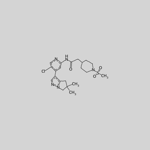 CC1(C)Cc2c(-c3cc(NC(=O)CC4CCN(S(C)(=O)=O)CC4)ncc3Cl)cnn2C1